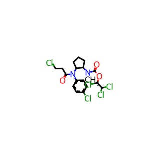 CN(C(=O)OC(Cl)C(Cl)Cl)C1CCCC1N(C(=O)CCCl)c1ccc(Cl)cc1